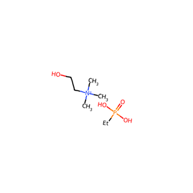 CCP(=O)(O)O.C[N+](C)(C)CCO